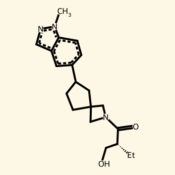 CC[C@H](CO)C(=O)N1CC2(CCC(c3ccc4c(cnn4C)c3)C2)C1